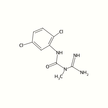 CN(C(=N)N)C(=O)Nc1cc(Cl)ccc1Cl